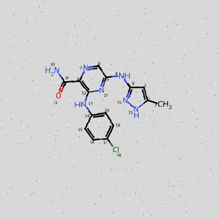 Cc1cc(Nc2cnc(C(N)=O)c(Nc3ccc(Cl)cc3)n2)n[nH]1